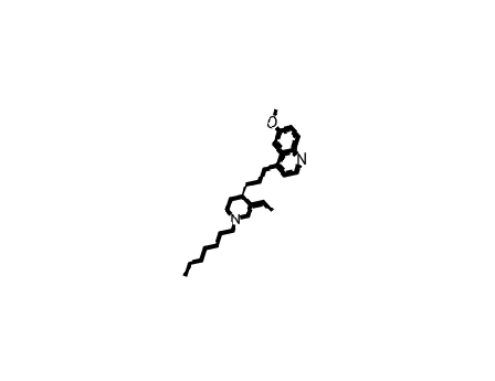 C/C=C1\CN(CCCCCCC)CC[C@H]1CCCc1ccnc2ccc(OC)cc12